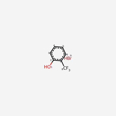 Br.Oc1ccccc1C(F)(F)F